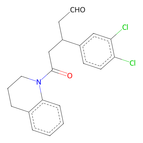 O=CCC(CC(=O)N1CCCc2ccccc21)c1ccc(Cl)c(Cl)c1